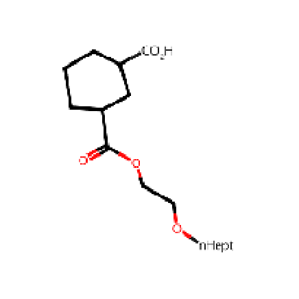 CCCCCCCOCCOC(=O)C1CCCC(C(=O)O)C1